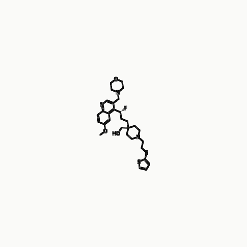 COc1ccc2ncc(CN3CCOCC3)c([C@H](F)CCC3(CO)CCN(CCSc4cccs4)CC3)c2c1